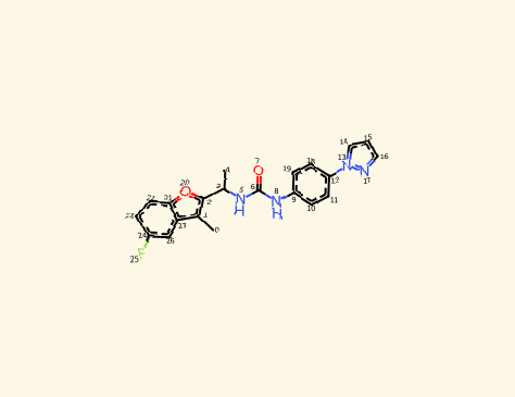 Cc1c(C(C)NC(=O)Nc2ccc(-n3cccn3)cc2)oc2ccc(F)cc12